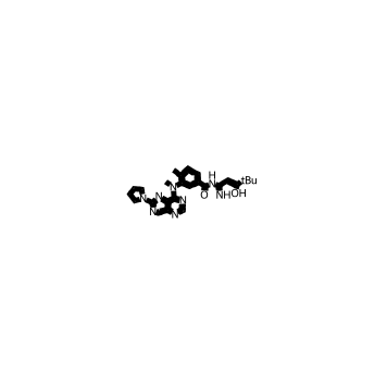 Cc1ccc(C(=O)NC(=N)/C=C(\O)C(C)(C)C)cc1N(C)c1ncnc2cnc(N3CCCC3)nc12